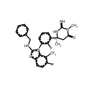 CN1C(=N)N[C@](C)(c2cccc(-n3c(NCc4ccccc4)nc4ccc(F)c(C(F)(F)F)c43)c2F)CC1=O